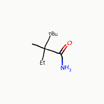 CCCCC(C)(CC)C(N)=O